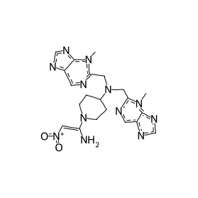 Cn1c(CN(Cc2ncc3ncnc-3n2C)C2CCN(C(N)=C[N+](=O)[O-])CC2)ncc2ncnc1-2